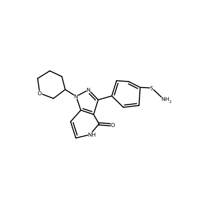 NSc1ccc(-c2nn(C3CCCOC3)c3cc[nH]c(=O)c23)cc1